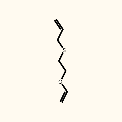 C=CCSCCOC=C